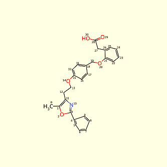 Cc1oc(-c2ccccc2)nc1CCOc1ccc(COc2ccccc2CC(=O)O)cc1